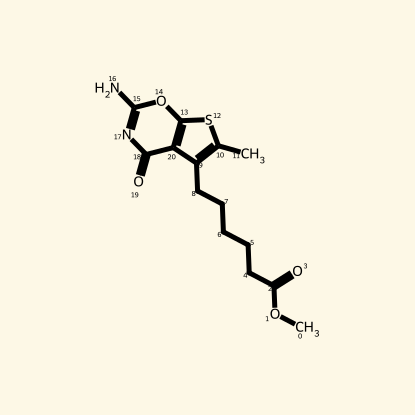 COC(=O)CCCCCc1c(C)sc2oc(N)nc(=O)c12